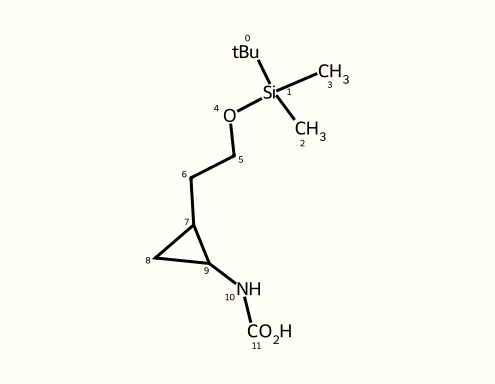 CC(C)(C)[Si](C)(C)OCCC1CC1NC(=O)O